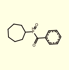 O=C(c1ccccc1)[PH](=O)C1CCCCCC1